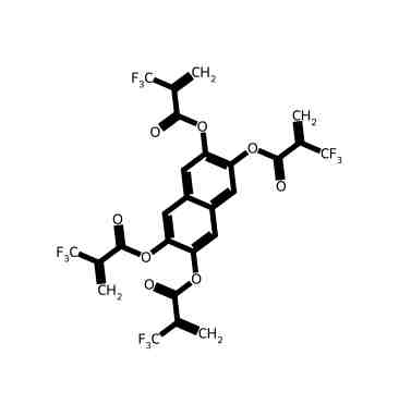 C=C(C(=O)Oc1cc2cc(OC(=O)C(=C)C(F)(F)F)c(OC(=O)C(=C)C(F)(F)F)cc2cc1OC(=O)C(=C)C(F)(F)F)C(F)(F)F